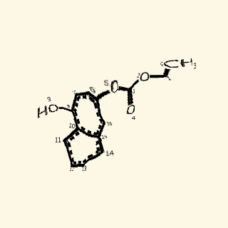 CCOC(=O)Oc1cc(O)c2ccccc2c1